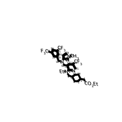 CCOC(=O)CC1CCC(CN(CC)c2ncc(C(F)(F)F)cc2CN(Cc2cc(C(F)(F)F)cc(C(F)(F)F)c2)c2ccn(C)n2)CC1